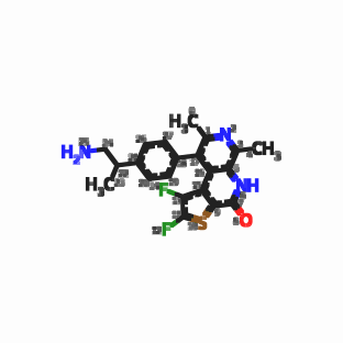 Cc1nc(C)c2[nH]c(=O)c3sc(F)c(F)c3c2c1-c1ccc(C(C)CN)cc1